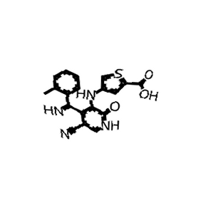 Cc1ccccc1C(=N)c1c(C#N)c[nH]c(=O)c1Nc1csc(C(=O)O)c1